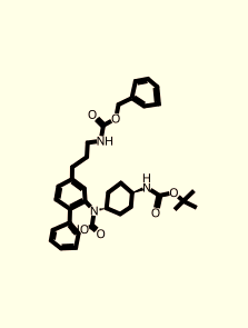 CC(C)(C)OC(=O)N[C@H]1CC[C@H](N(C(=O)O)c2cc(CCCNC(=O)OCc3ccccc3)ccc2-c2ccccc2)CC1